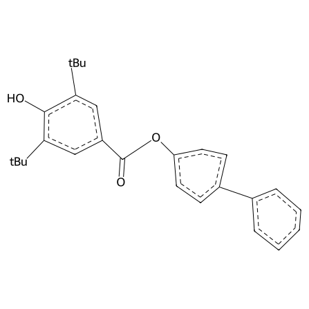 CC(C)(C)c1cc(C(=O)Oc2ccc(-c3ccccc3)cc2)cc(C(C)(C)C)c1O